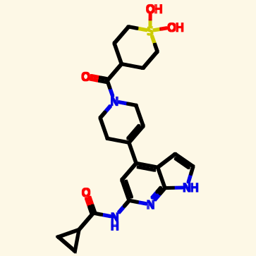 O=C(Nc1cc(C2=CCN(C(=O)C3CCS(O)(O)CC3)CC2)c2cc[nH]c2n1)C1CC1